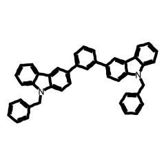 c1ccc(Cn2c3ccccc3c3cc(-c4cccc(-c5ccc6c(c5)c5ccccc5n6Cc5ccccc5)c4)ccc32)cc1